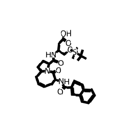 CC(C)(C)[Si](C)(C)OCC(CC(=O)O)NC(=O)C1CCC2C/C=C\CC(NC(=O)c3ccc4ccccc4c3)C(=O)N21